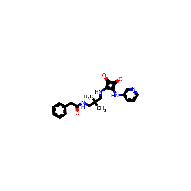 CC(C)(CNC(=O)Cc1ccccc1)CNc1c(Nc2cccnc2)c(=O)c1=O